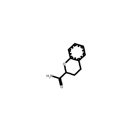 NC(=O)C1C[CH]c2ccccc2O1